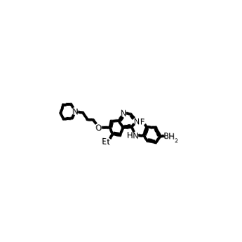 Bc1ccc(Nc2ncnc3cc(OCCCN4CCCCC4)c(CC)cc23)c(F)c1